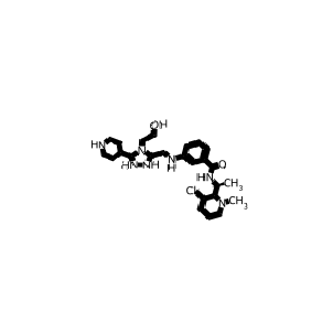 C[C@H](NC(=O)c1cccc(NCC2NNC(C3CCNCC3)N2CCO)c1)C1C(Cl)CCCN1C